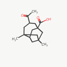 CC(=O)C1CC2(C(=O)O)CC3CC(C)(C2)CC3(C)C1